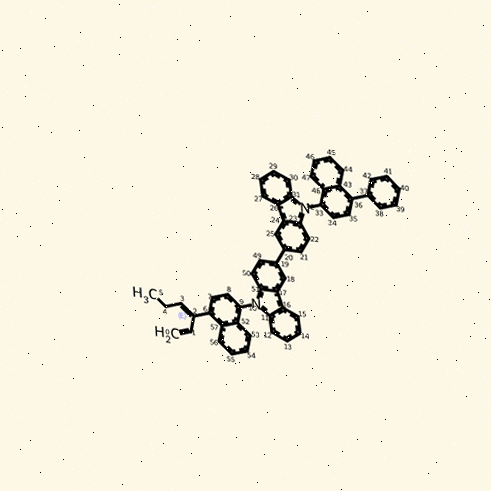 C=C/C(=C\CC)c1ccc(-n2c3ccccc3c3cc(-c4ccc5c(c4)c4ccccc4n5-c4ccc(-c5ccccc5)c5ccccc45)ccc32)c2ccccc12